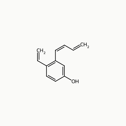 C=C/C=C\c1cc(O)ccc1C=C